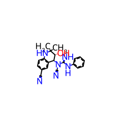 CC1(C)Nc2ccc(C#N)cc2[C@H](N(C#N)C(=N)Nc2ccccc2)[C@H]1O